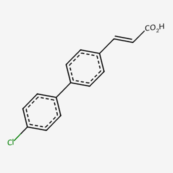 O=C(O)/C=C/c1ccc(-c2ccc(Cl)cc2)cc1